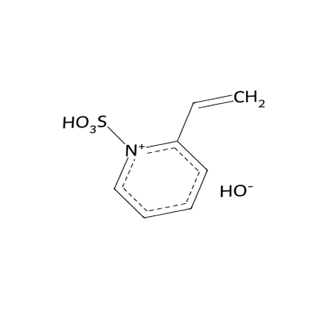 C=Cc1cccc[n+]1S(=O)(=O)O.[OH-]